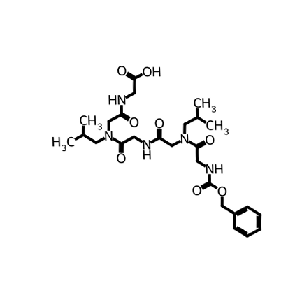 CC(C)CN(CC(=O)NCC(=O)O)C(=O)CNC(=O)CN(CC(C)C)C(=O)CNC(=O)OCc1ccccc1